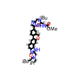 CCC(C)CC(=O)N(Cc1nc2ccc3cc4c(cc3c2[nH]1)OCc1cc(-c2cnc(CN(C(=O)CNC(=O)OC)[C@@H](C)CC)[nH]2)ccc1-4)CC(C)C